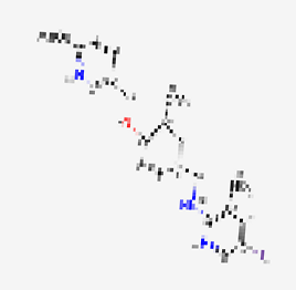 COc1ccc(COc2ccc(CNc3ncc(I)cc3[N+](=O)[O-])cc2OC)cn1